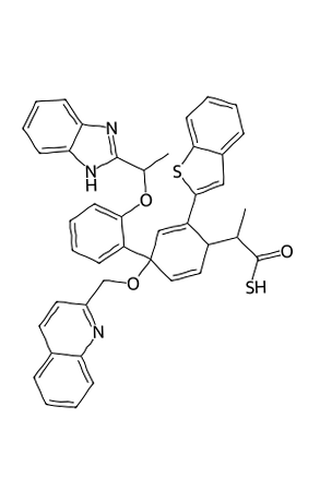 CC(Oc1ccccc1C1(OCc2ccc3ccccc3n2)C=CC(C(C)C(=O)S)C(c2cc3ccccc3s2)=C1)c1nc2ccccc2[nH]1